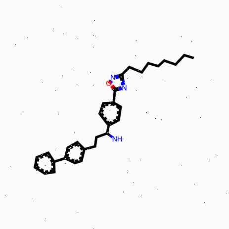 CCCCCCCCc1noc(-c2ccc(C([NH])CCc3ccc(-c4ccccc4)cc3)cc2)n1